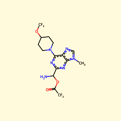 Cn1cnc2c(N3CCC(OC(F)(F)F)CC3)nc(C(N)OC(=O)C(F)(F)F)nc21